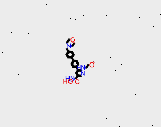 COCCNc1ncc(C(=O)NO)cc1-c1ccc(-c2ccc(CN3CCOCC3)cc2)cc1